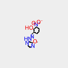 COc1nccnc1NN=Cc1cccc([N+](=O)[O-])c1O